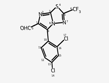 O=Cc1nc2sc(C(F)(F)F)nn2c1-c1ccc(Cl)cc1Cl